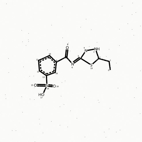 CCC1N[N]C(=NC(=O)c2cccc(S(=O)(=O)O)c2)S1